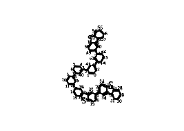 c1cc(-c2cccc(-c3cccc(-c4ccc5sc6ccc(-c7ccc8sc9ccccc9c8c7)cc6c5c4)c3)c2)cc(-c2cccc(-c3ccc4sc5ccccc5c4c3)c2)c1